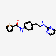 O=C(Nc1ccc(CCNc2ncccn2)cc1)c1cccs1